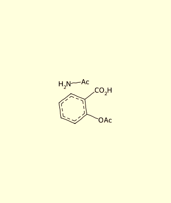 CC(=O)Oc1ccccc1C(=O)O.CC(N)=O